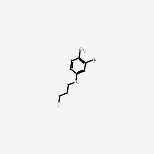 N#Cc1cc(OCCCCl)ccc1[N+](=O)[O-]